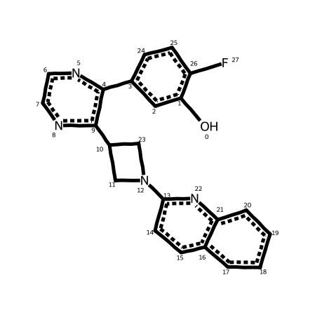 Oc1cc(-c2nccnc2C2CN(c3ccc4ccccc4n3)C2)ccc1F